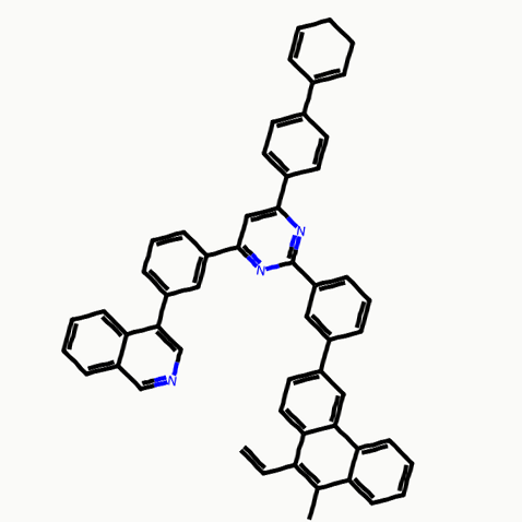 C=Cc1c(C)c2ccccc2c2cc(-c3cccc(-c4nc(-c5ccc(C6=CCCC=C6)cc5)cc(-c5cccc(-c6cncc7ccccc67)c5)n4)c3)ccc12